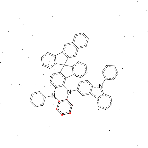 c1ccc(N(c2ccccc2)c2ccc3c(c2N(c2ccccc2)c2ccc4c(c2)c2ccccc2n4-c2ccccc2)-c2ccccc2C32c3ccccc3-c3cc4ccccc4cc32)cc1